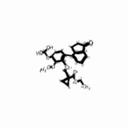 CCOC(=O)C1(COc2c(-c3cccc4c3CCC4=O)ccc(OC(O)O)c2OC)CC1